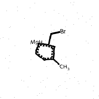 Cc1cccc(CBr)c1.[MgH2]